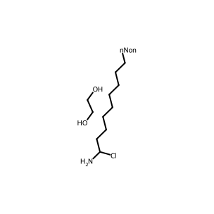 CCCCCCCCCCCCCCCCCC(N)Cl.OCCO